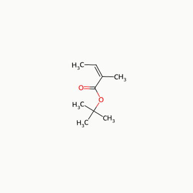 C/C=C(/C)C(=O)OC(C)(C)C